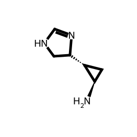 N[C@@H]1C[C@H]1C1CNC=N1